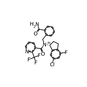 NC(=O)c1ccccc1CN(C(=O)c1cccnc1C(F)(F)F)[C@@H]1CCc2c(F)cc(Cl)cc21